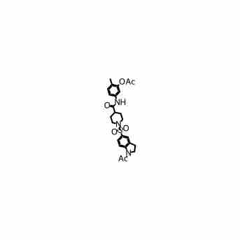 CC(=O)Oc1cc(NC(=O)C2CCN(S(=O)(=O)c3ccc4c(c3)CCN4C(C)=O)CC2)ccc1C